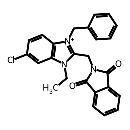 CCn1c(CN2C(=O)c3ccccc3C2=O)[n+](Cc2ccccc2)c2ccc(Cl)cc21